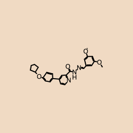 COc1cc(/C=N/NC(=O)c2cc(-c3ccc(OC4CCCC4)cc3)ccn2)cc(OC)c1